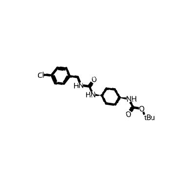 CC(C)(C)OC(=O)N[C@H]1CC[C@@H](NC(=O)NCc2ccc(Cl)cc2)CC1